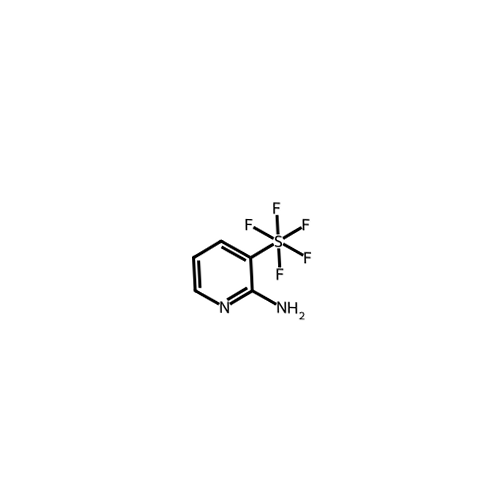 Nc1ncccc1S(F)(F)(F)(F)F